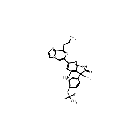 CCCc1nc(-c2nc(N)c3c(n2)NC(=O)C3(C)c2ccc(OC(C)(F)F)cc2)cn2ccnc12